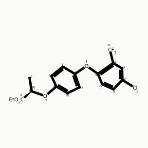 CCOC(=O)[C@@H](C)Oc1ccc(Oc2ccc(Cl)cc2C(F)(F)F)cc1